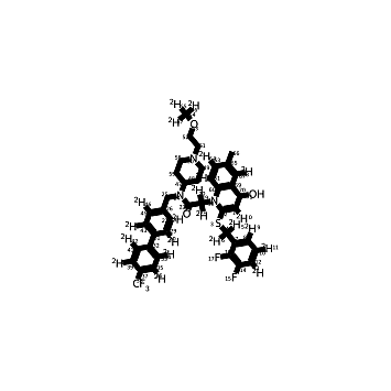 [2H]C1=C(SC([2H])([2H])c2c([2H])c([2H])c([2H])c(F)c2F)N(C([2H])([2H])C(=O)N(Cc2c([2H])c([2H])c(-c3c([2H])c([2H])c(C(F)(F)F)c([2H])c3[2H])c([2H])c2[2H])C2CCN(CCOC([2H])([2H])[2H])CC2)c2c([2H])c([2H])c(C)c([2H])c2C1O